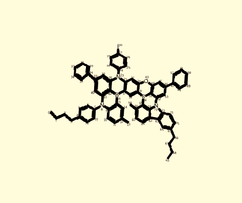 CCCCc1ccc(N2c3ccc(C)cc3B3c4cc5c(cc4N(c4ccc(I)cc4)c4cc(-c6ccccc6)cc2c43)Oc2cc(-c3ccccc3)cc3c2B5c2c(C)ccc4c5cc(CCCC)ccc5n-3c24)cc1